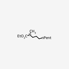 CCCCCCCCN(C)C(=O)OCC